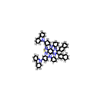 c1ccc(N(c2ccc(-n3c4ccccc4c4ccccc43)cc2)c2c3nsnc3c(N(c3ccccc3)c3ccc(-n4c5ccccc5c5ccccc54)cc3)c3nc(-c4ccc5ccccc5c4)c(-c4ccc5ccccc5c4)nc23)cc1